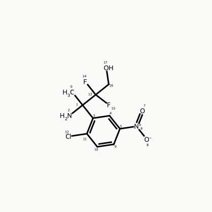 CC(N)(c1cc([N+](=O)[O-])ccc1Cl)C(F)(F)CO